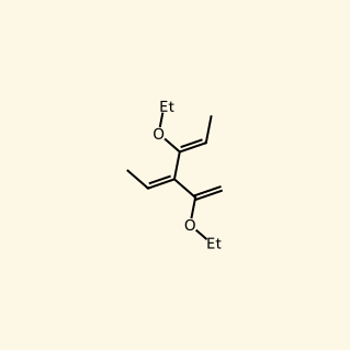 C=C(OCC)C(=C/C)/C(=C/C)OCC